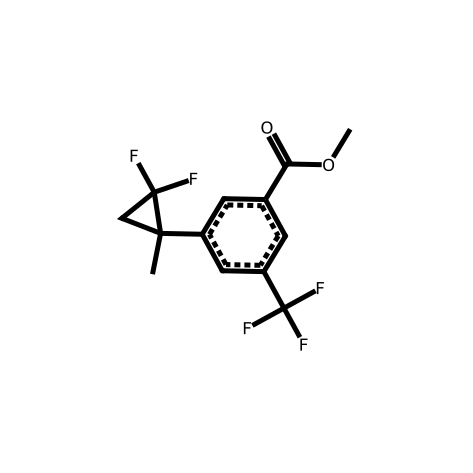 COC(=O)c1cc(C(F)(F)F)cc(C2(C)CC2(F)F)c1